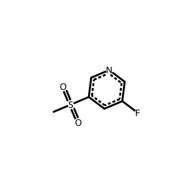 CS(=O)(=O)c1cncc(F)c1